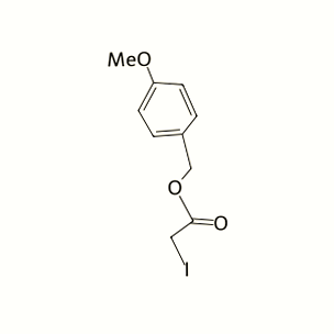 COc1ccc(COC(=O)CI)cc1